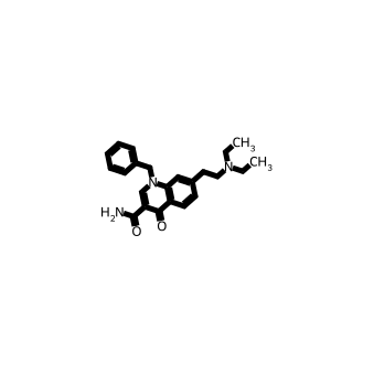 CCN(CC)CCc1ccc2c(=O)c(C(N)=O)cn(Cc3ccccc3)c2c1